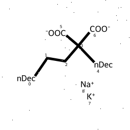 CCCCCCCCCCCCC(CCCCCCCCCC)(C(=O)[O-])C(=O)[O-].[K+].[Na+]